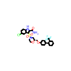 NC(=O)c1[nH]c2ccc(Cl)cc2c1S(=O)(=O)N1CCO[C@H](COc2ccc(-c3ccccc3C(F)(F)F)cc2)C1